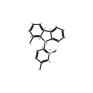 Cc1ccc(-n2c3ccccc3c3cccc(C)c32)[n+](C)c1